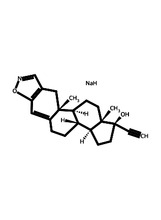 C#C[C@]1(O)CC[C@H]2[C@@H]3CCC4=Cc5oncc5C[C@]4(C)[C@H]3CC[C@@]21C.[NaH]